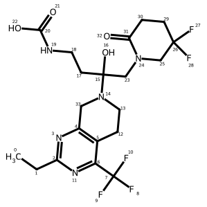 CCc1nc2c(c(C(F)(F)F)n1)CCN(C(O)(CCNC(=O)O)CN1CC(F)(F)CCC1=O)C2